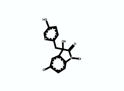 CCN1C(=O)C(O)(Cc2ccc(O)cn2)c2cc(Cl)ccc21